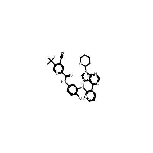 Cc1ccc(NC(=O)c2cc(C#N)c(C(F)(F)F)cn2)cc1Nc1ncccc1-c1ncnc2c1ncn2C1CCCCO1